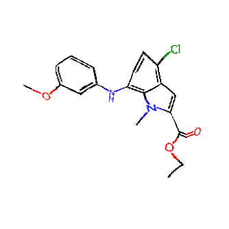 CCOC(=O)c1cc2c(Cl)ccc(Nc3cccc(OC)c3)c2n1C